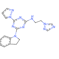 c1ccc2c(c1)CCN2c1nc(NCCn2cncn2)nc(-n2cccn2)n1